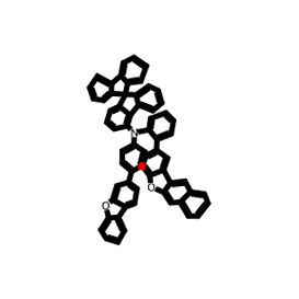 c1ccc(N(c2ccc(-c3ccc4c(c3)oc3ccccc34)cc2)c2cccc3c2-c2ccccc2C32c3ccccc3-c3ccccc32)c(-c2ccc3oc4cc5ccccc5cc4c3c2)c1